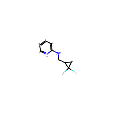 FC1(F)CC1CNc1ccccn1